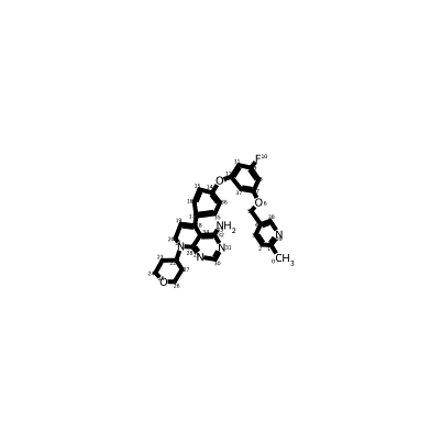 Cc1ccc(COc2cc(F)cc(Oc3ccc(C4=CCN(C5CCOCC5)c5ncnc(N)c54)cc3)c2)cn1